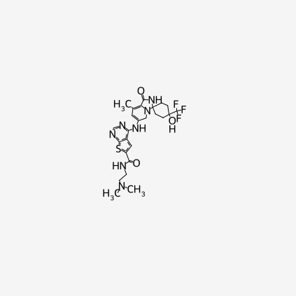 CC1=C2C(=O)NC3(CCC(O)(C(F)(F)F)CC3)N2CC(Nc2ncnc3sc(C(=O)NCCN(C)C)cc23)=C1